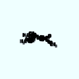 COCCC[C@H](CC=O)c1ccc(OCc2ccc(C(C)(C)C)c(-c3cc(OC)ccc3F)c2)cc1